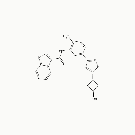 Cc1ccc(-c2noc([C@H]3C[C@H](O)C3)n2)cc1NC(=O)c1cnc2ccccn12